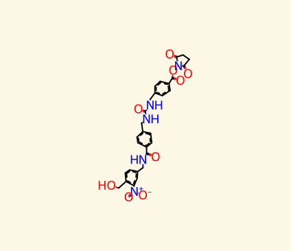 O=C(NCc1ccc(C(=O)NCc2ccc(CO)c([N+](=O)[O-])c2)cc1)NCc1ccc(C(=O)ON2C(=O)CCC2=O)cc1